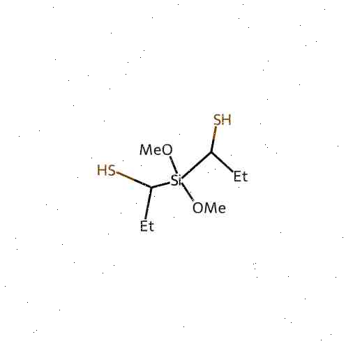 CCC(S)[Si](OC)(OC)C(S)CC